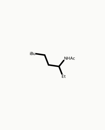 CCC(C)CCC(CC)NC(C)=O